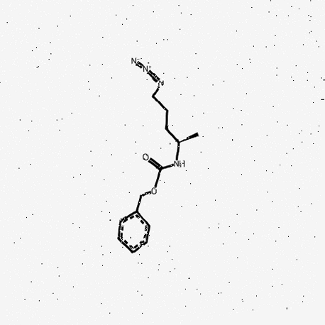 C[C@H](CCCN=[N+]=[N-])NC(=O)OCc1ccccc1